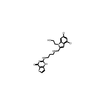 O=c1nc(NCCCNCc2cc3c(Cl)cc(Cl)cc3n2CCO)[nH]c2ccsc12